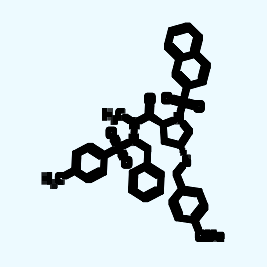 COc1ccc(CS[C@@H]2C[C@@H](C(=O)N(C)N(Cc3ccccc3)S(=O)(=O)c3ccc(C)cc3)N(S(=O)(=O)c3ccc4ccccc4c3)C2)cc1